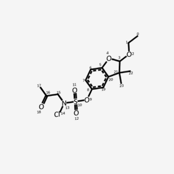 CCOC1Oc2ccc(OS(=O)(=O)N(Cl)CC(C)=O)cc2C1(C)C